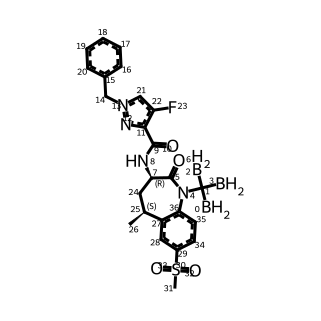 BC(B)(B)N1C(=O)[C@H](NC(=O)c2nn(Cc3ccccc3)cc2F)C[C@H](C)c2cc(S(C)(=O)=O)ccc21